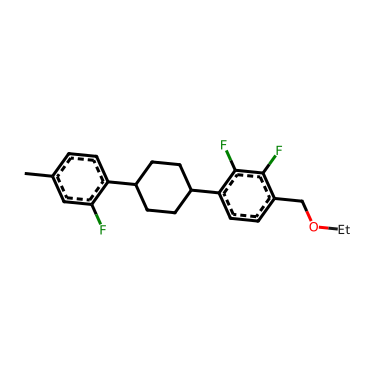 CCOCc1ccc(C2CCC(c3ccc(C)cc3F)CC2)c(F)c1F